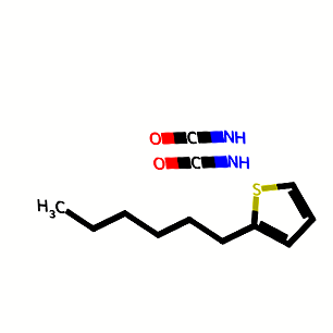 CCCCCCc1cccs1.N=C=O.N=C=O